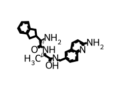 C[C@H](NC(=O)[C@H](N)C1Cc2ccccc2C1)C(=O)NCc1ccc2nc(N)ccc2c1